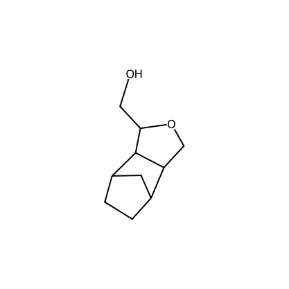 OCC1OCC2C3CCC(C3)C12